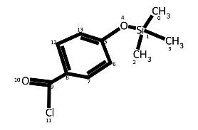 C[Si](C)(C)Oc1ccc(C(=O)Cl)cc1